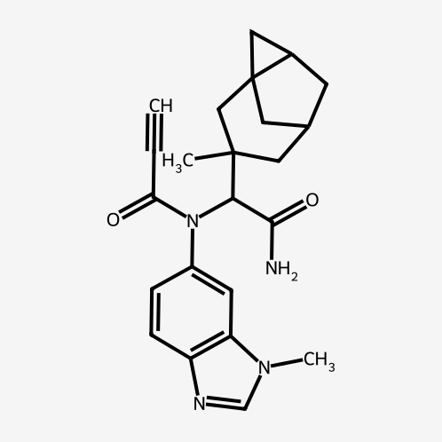 C#CC(=O)N(c1ccc2ncn(C)c2c1)C(C(N)=O)C1(C)CC2CC3CC3(C2)C1